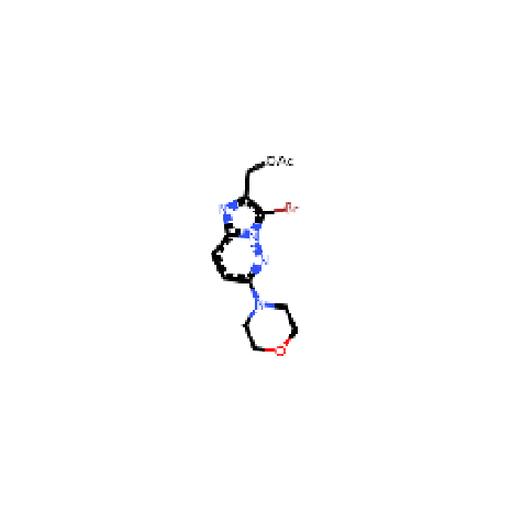 CC(=O)OCc1nc2ccc(N3CCOCC3)nn2c1Br